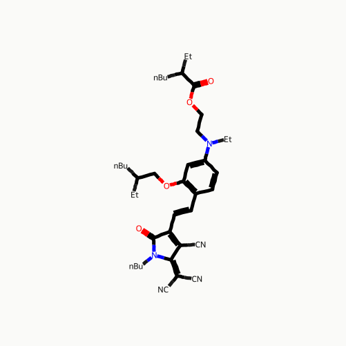 CCCCC(CC)COc1cc(N(CC)CCOC(=O)C(CC)CCCC)ccc1/C=C/C1=C(C#N)C(=C(C#N)C#N)N(CCCC)C1=O